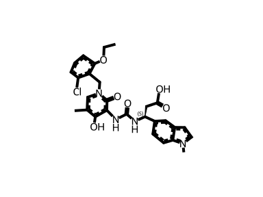 CCOc1cccc(Cl)c1Cn1cc(C)c(O)c(NC(=O)N[C@@H](CC(=O)O)c2ccc3c(ccn3C)c2)c1=O